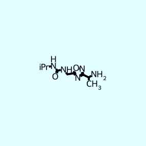 CC(C)NC(=O)NCc1nc(C(C)N)no1